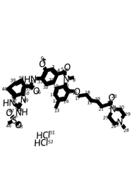 COc1cc(C(=O)N(C)c2ccc(C)cc2OCCCCCC(=O)N2CCN(C)CC2)ccc1NC(=O)c1cccc2[nH]c(NS(C)(=O)=O)nc12.Cl.Cl